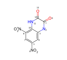 O=C1[N]c2cc([N+](=O)[O-])cc([N+](=O)[O-])c2NC1=O